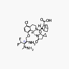 CN(N)/C(=C(\N)COc1ccc(Cl)c2c1[C@@H](CN1CC3(CC3)CC1=O)N(C(=O)[C@@H]1C3CC(C3)C[C@]1(C)C(=O)O)CC2)C(F)F